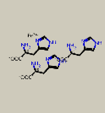 N[C@@H](Cc1c[nH]cn1)C(=O)[O-].N[C@@H](Cc1c[nH]cn1)C(=O)[O-].N[C@@H](Cc1c[nH]cn1)C(=O)[O-].[Fe+3]